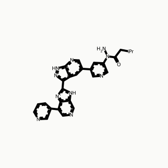 CC(C)CC(=O)N(N)c1cncc(-c2cnc3[nH]nc(-c4nc5c(-c6cccnc6)cncc5[nH]4)c3c2)c1